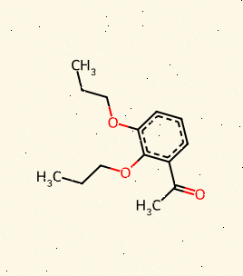 CCCOc1cccc(C(C)=O)c1OCCC